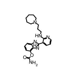 NC(=O)Oc1cccc2[nH]c(-c3cccnc3NCCCN3CCCCCC3)nc12